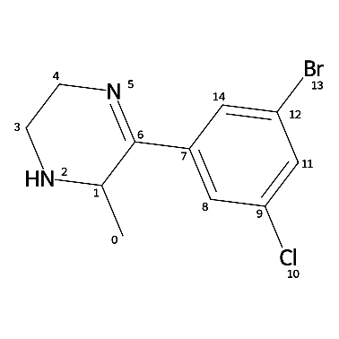 CC1NCCN=C1c1cc(Cl)cc(Br)c1